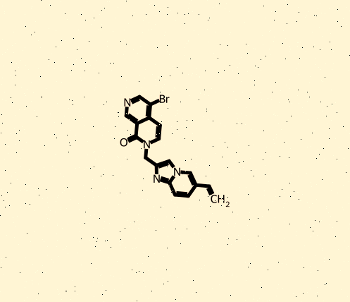 C=Cc1ccc2nc(Cn3ccc4c(Br)cncc4c3=O)cn2c1